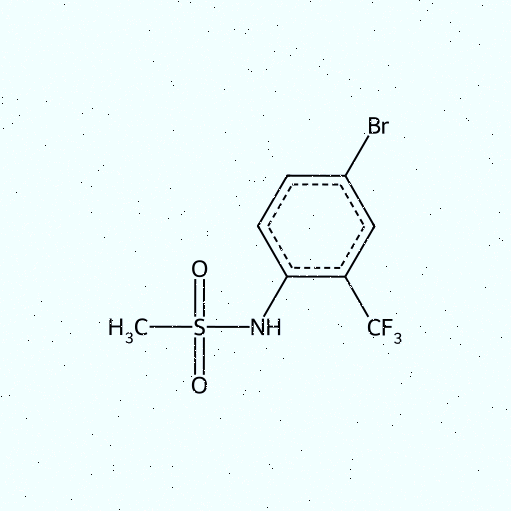 CS(=O)(=O)Nc1ccc(Br)cc1C(F)(F)F